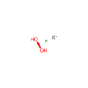 OO.[F-].[K+]